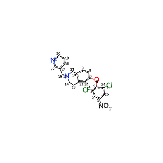 O=[N+]([O-])c1cc(Cl)c(Oc2ccc3c(c2)CCN(Cc2cccnc2)C3)c(Cl)c1